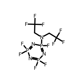 FC(F)(F)CN(CC(F)(F)F)P1(F)=NP(F)(F)=NP(F)(F)=N1